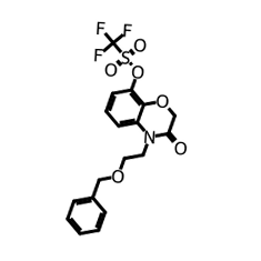 O=C1COc2c(OS(=O)(=O)C(F)(F)F)cccc2N1CCOCc1ccccc1